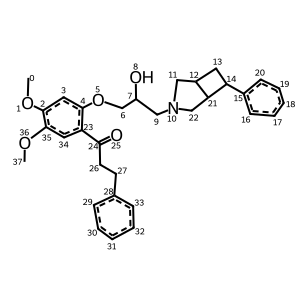 COc1cc(OCC(O)CN2CC3CC(c4ccccc4)C3C2)c(C(=O)CCc2ccccc2)cc1OC